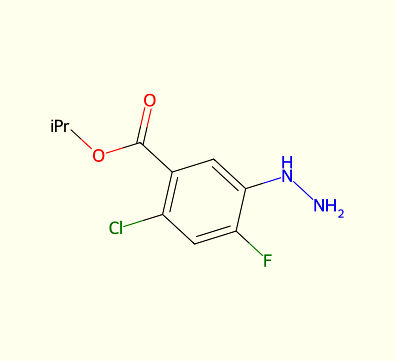 CC(C)OC(=O)c1cc(NN)c(F)cc1Cl